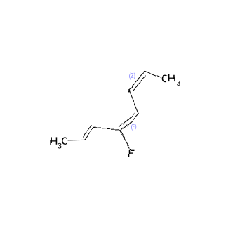 CC=C/C(F)=C\C=C/C